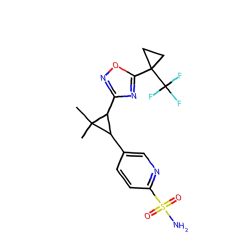 CC1(C)C(c2ccc(S(N)(=O)=O)nc2)C1c1noc(C2(C(F)(F)F)CC2)n1